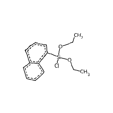 CCO[Si](Cl)(OCC)c1cccc2ccccc12